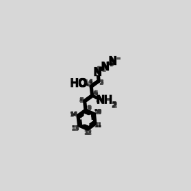 [N-]=[N+]=NC[C@@H](O)[C@@H](N)Cc1ccccc1